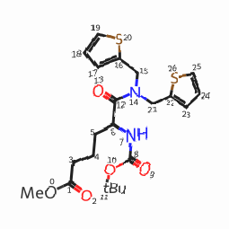 COC(=O)CCCC(NC(=O)OC(C)(C)C)C(=O)N(Cc1cccs1)Cc1cccs1